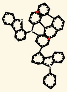 c1ccc(-c2cccc3cccc(-c4ccccc4N(c4cccc(-c5cccc6c5c5ccccc5n6-c5ccccc5)c4)c4cccc5c4oc4ccccc45)c23)cc1